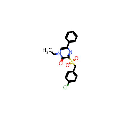 CCn1cc(-c2ccccc2)nc(S(=O)(=O)Cc2ccc(Cl)cc2)c1=O